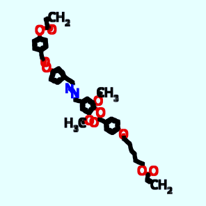 C=CC(=O)OCCCCCCOc1ccc(C(=O)Oc2c(OC)cc(/C=N/N=C/c3ccc(OOCc4ccc(OC(=O)C=C)cc4)cc3)cc2OC)cc1